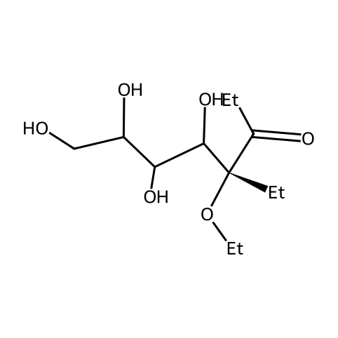 CCO[C@@](CC)(C(=O)CC)C(O)C(O)C(O)CO